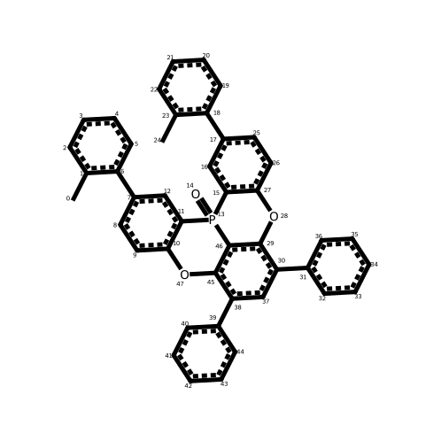 Cc1ccccc1-c1ccc2c(c1)P1(=O)c3cc(-c4ccccc4C)ccc3Oc3c(-c4ccccc4)cc(-c4ccccc4)c(c31)O2